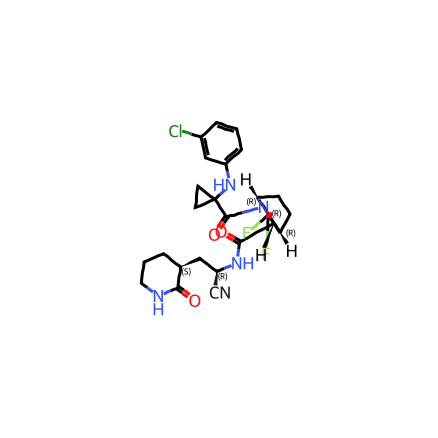 N#C[C@@H](C[C@@H]1CCCNC1=O)NC(=O)[C@H]1[C@H]2CC[C@H](CC2(F)F)N1C(=O)C1(Nc2cccc(Cl)c2)CC1